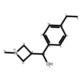 CCc1ccc(C(O)C2CN(C)C2)cc1